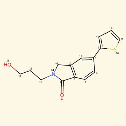 O=C1c2ccc(-c3cccs3)cc2CN1CCCO